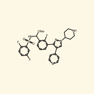 COC(NS(=O)(=O)c1cc(F)ccc1F)c1cccc(-c2nn(C3CCNCC3)cc2-c2ccncc2)c1F